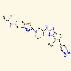 C=CC(=O)Nc1ccc2sc(N3CCCC(Nc4nc5ccc(-c6cn[nH]c6)c(C(F)(F)F)n5n4)C3)nc2c1